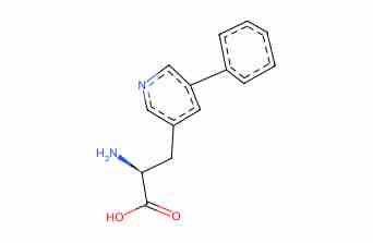 N[C@@H](Cc1cncc(-c2ccccc2)c1)C(=O)O